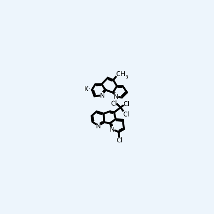 Cc1cc2cccnc2c2ncccc12.Clc1ccc2c(C(Cl)(Cl)Cl)cc3cccnc3c2n1.[K]